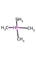 C[PH](C)(C)[SiH3]